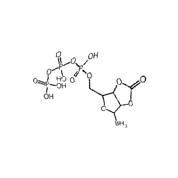 BC1OC(COP(=O)(O)OP(=O)(O)OP(=O)(O)O)C2OC(=O)OC12